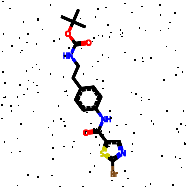 CC(C)(C)OC(=O)NCCc1ccc(NC(=O)c2cnc(Br)s2)cc1